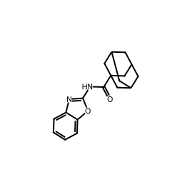 O=C(Nc1nc2ccccc2o1)C12CC3CC(CC(C3)C1)C2